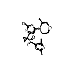 Cc1nc(C)c(S(=O)(=O)C2(c3cc(N4CCOC[C@@H]4C)nc(Cl)n3)CC2)s1